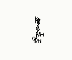 CNC(=O)CCNCCOCCCn1ccnn1